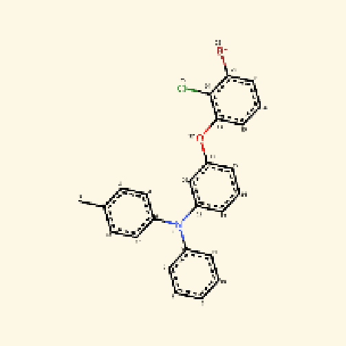 Cc1ccc(N(c2ccccc2)c2cccc(Oc3cccc(Br)c3Cl)c2)cc1